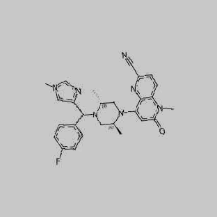 C[C@@H]1CN(c2cc(=O)n(C)c3ccc(C#N)nc23)[C@@H](C)CN1C(c1ccc(F)cc1)c1cn(C)cn1